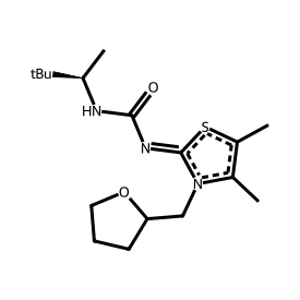 Cc1sc(=NC(=O)N[C@H](C)C(C)(C)C)n(CC2CCCO2)c1C